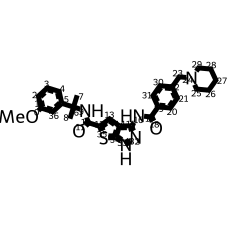 COc1cccc(C(C)(C)NC(=O)c2cc3c(NC(=O)c4ccc(CN5CCCCC5)cc4)n[nH]c3s2)c1